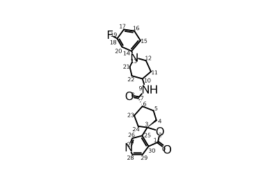 O=C1O[C@]2(CC[C@@H](C(=O)NC3CCN(c4cccc(F)c4)CC3)CC2)c2cnccc21